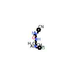 CC(=O)N(Cc1ccc(Cl)cc1)C(C)C(C)CCNC(=O)Cc1cncn1Cc1ccc(C#N)cc1